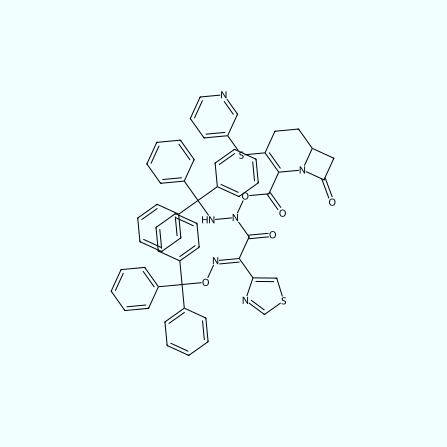 O=C(ON(NC(c1ccccc1)(c1ccccc1)c1ccccc1)C(=O)C(=NOC(c1ccccc1)(c1ccccc1)c1ccccc1)c1cscn1)C1=C(Sc2cccnc2)CCC2CC(=O)N12